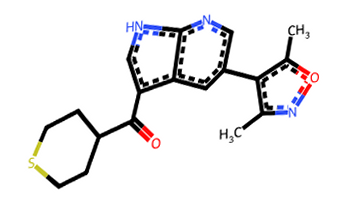 Cc1noc(C)c1-c1cnc2[nH]cc(C(=O)C3CCSCC3)c2c1